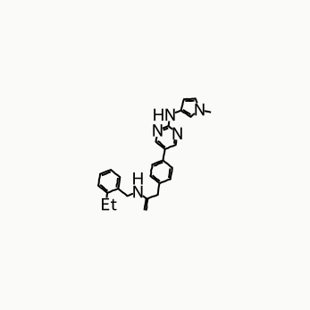 C=C(Cc1ccc(-c2cnc(Nc3ccn(C)c3)nc2)cc1)NCc1ccccc1CC